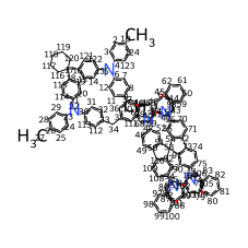 Cc1ccc(N(c2ccc(C)cc2)c2ccc(C3(c4ccc(N(c5ccc(C)cc5)c5ccc(Cc6cccc(N(c7ccccc7)c7ccc8c(c7)C7(c9cc(N(c%10ccccc%10)c%10ccccc%10)ccc9-c9ccc(N(c%10ccccc%10)c%10ccccc%10)cc97)c7cc(N(c9ccccc9)c9ccccc9)ccc7-8)c6)cc5)cc4)CCCCC3)cc2)cc1